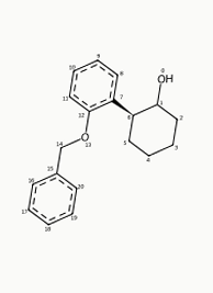 OC1CCCC[C@H]1c1ccccc1OCc1ccccc1